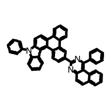 c1ccc(-c2nc(-c3ccc4c(c3)c3ccccc3c3ccc5c(c6ccccc6n5-c5ccccc5)c34)nc3ccc4ccccc4c23)cc1